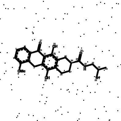 COc1cccc2c1Cc1c(O)c3c(c(O)c1C2=O)C[C@@H](C(=O)NCC(C)S)CC3